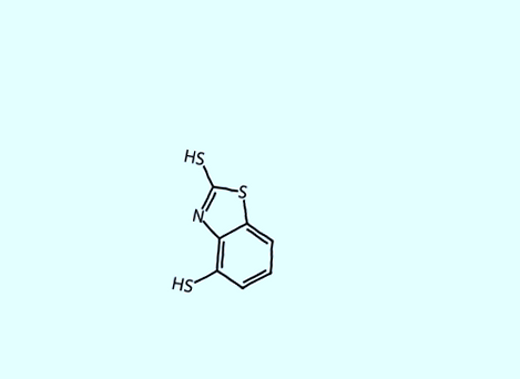 Sc1nc2c(S)cccc2s1